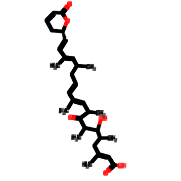 CC(C=C[C@@H]1CC=CC(=O)O1)=CC(C)CC=CC(C)=CC(C)C(=O)C(C)C(O)C(C)CC(C)=CC(=O)O